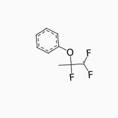 CC(F)(Oc1ccccc1)[C](F)F